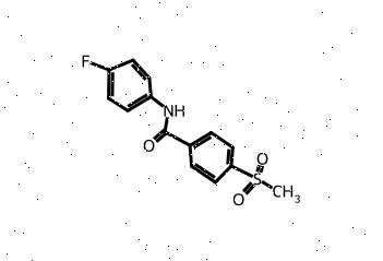 CS(=O)(=O)c1ccc(C(=O)Nc2ccc(F)cc2)cc1